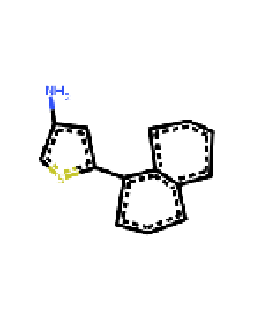 Nc1csc(-c2cccc3ccccc23)c1